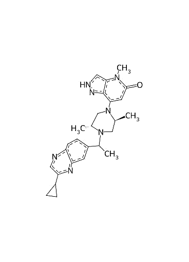 CC(c1ccc2ncc(C3CC3)nc2c1)N1C[C@H](C)N(c2cc(=O)n(C)c3c[nH]nc23)C[C@H]1C